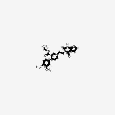 CCOC(=O)[C@H]1CN(CCn2c(=O)[nH]c3sccc3c2=O)CC[C@H]1c1ccc(C)c(C)c1